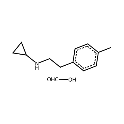 Cc1ccc(CCNC2CC2)cc1.O=CO